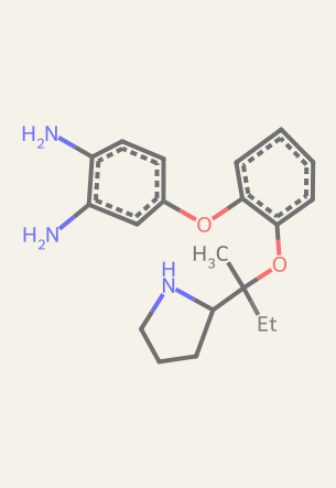 CCC(C)(Oc1ccccc1Oc1ccc(N)c(N)c1)C1CCCN1